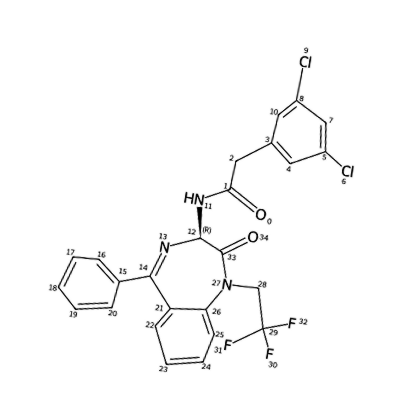 O=C(Cc1cc(Cl)cc(Cl)c1)N[C@@H]1N=C(c2ccccc2)c2ccccc2N(CC(F)(F)F)C1=O